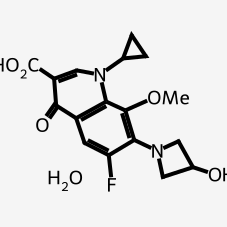 COc1c(N2CC(O)C2)c(F)cc2c(=O)c(C(=O)O)cn(C3CC3)c12.O